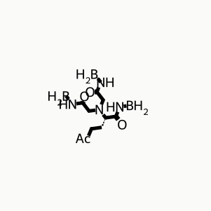 BNC(=O)CN(CC(=O)NB)[C@@H](CCC(C)=O)C(=O)NB